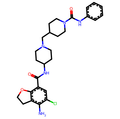 Nc1c(Cl)cc(C(=O)NC2CCN(CC3CCN(C(=O)Nc4ccccc4)CC3)CC2)c2c1CCO2